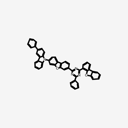 c1ccc(-c2ccc3c(c2)c2ccccc2n3-c2ccc3c(c2)oc2cc(-c4nc(-c5ccccc5)nc(-c5cccc6c5oc5ccccc56)n4)ccc23)cc1